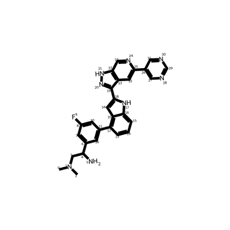 CN(C)CC(N)c1cc(F)cc(-c2cccc3[nH]c(-c4n[nH]c5cnc(-c6cncnc6)cc45)cc23)c1